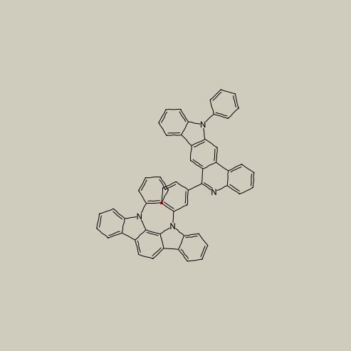 c1ccc(-n2c3ccccc3c3cc4c(-c5cccc(-n6c7ccccc7c7ccc8c9ccccc9n(-c9ccccc9)c8c76)c5)nc5ccccc5c4cc32)cc1